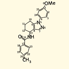 COc1ccc(-n2ncc3c2CCCC3NC(=O)c2ccc(C)cc2)cc1